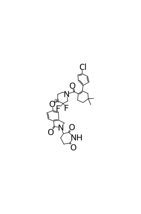 CC1(C)CCC(C(=O)N2CC[C@H](Oc3ccc4c(c3)CN(C3CCC(=O)NC3=O)C4=O)C(F)(F)C2)=C(c2ccc(Cl)cc2)C1